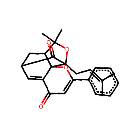 CC(C)=CCC12OC(C)(C)C3CC(C=C4C(=O)C=C(c5ccccc5)OC431)C2=O